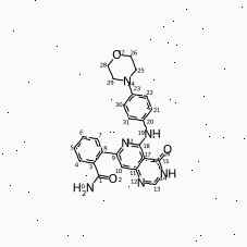 NC(=O)c1ccccc1-c1cc2nc[nH]c(=O)c2c(Nc2ccc(N3CCOCC3)cc2)n1